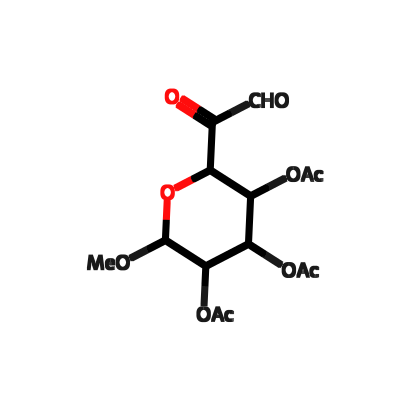 COC1OC(C(=O)C=O)C(OC(C)=O)C(OC(C)=O)C1OC(C)=O